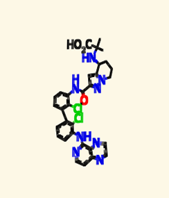 CC(C)(N[C@H]1CCCn2nc(C(=O)Nc3cccc(-c4cccc(Nc5nccc6nccnc56)c4Cl)c3Cl)cc21)C(=O)O